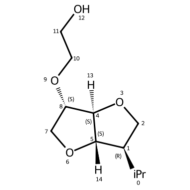 CC(C)[C@@H]1CO[C@H]2[C@H]1OC[C@@H]2OCCO